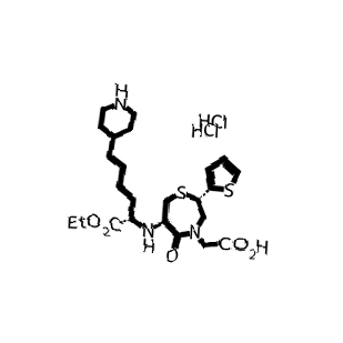 CCOC(=O)[C@H](CCCCC1CCNCC1)N[C@H]1CS[C@H](c2cccs2)CN(CC(=O)O)C1=O.Cl.Cl